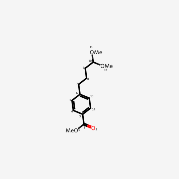 COC(=O)c1ccc(CCCC(OC)OC)cc1